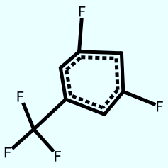 Fc1cc(F)cc(C(F)(F)F)c1